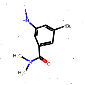 CN(C)C(=O)c1cc(NI)cc(C(C)(C)C)c1